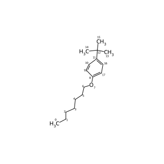 CCCCCCCOc1[c]cc(C(C)(C)C)cc1